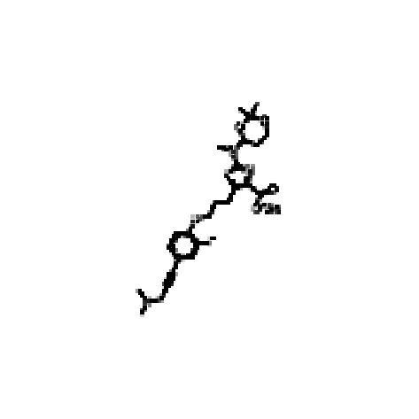 COC(=O)c1nc(N(C)C2CCOC(C)(C)O2)sc1CCCOc1ccc(C#CCN(C)C)cc1F